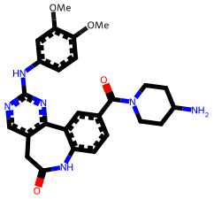 COc1ccc(Nc2ncc3c(n2)-c2cc(C(=O)N4CCC(N)CC4)ccc2NC(=O)C3)cc1OC